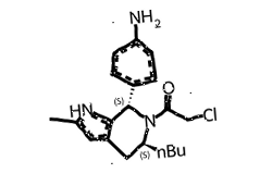 CCCC[C@H]1Cc2cc(C)[nH]c2[C@H](c2ccc(N)cc2)N1C(=O)CCl